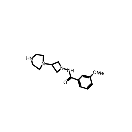 COc1cccc(C(=O)NN2CC(N3CCNCC3)C2)c1